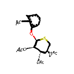 CC(=O)O[C@@H]1[C@@H](OC(C)=O)[C@@H](Oc2ccccc2C(C)=O)SC[C@H]1OC(C)=O